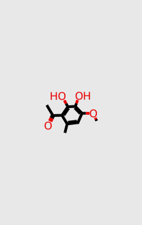 COc1cc(C)c(C(C)=O)c(O)c1O